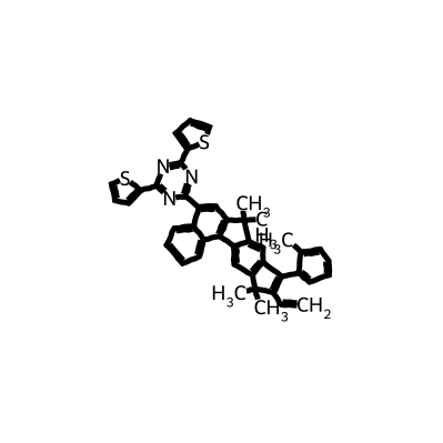 C=CC1=C(c2ccccc2C)c2cc3c(cc2C1(C)C)-c1c(cc(-c2nc(-c4cccs4)nc(-c4cccs4)n2)c2ccccc12)C3(C)C